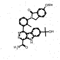 COc1ccc2c(c1)C(=O)N(c1cccc(-c3nnc(C(N)=O)c4[nH]c5cc(C(C)(C)O)ccc5c34)c1C)C2